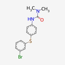 CN(C)C(=O)Nc1ccc(Sc2cccc(Br)c2)cc1